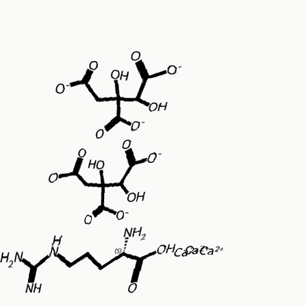 N=C(N)NCCC[C@H](N)C(=O)O.O=C([O-])CC(O)(C(=O)[O-])C(O)C(=O)[O-].O=C([O-])CC(O)(C(=O)[O-])C(O)C(=O)[O-].[Ca+2].[Ca+2].[Ca+2]